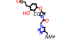 CNCc1cn(CC(=O)N2CC(Oc3ccc(CCB=O)c(O)c3C(=O)O)C2)nn1